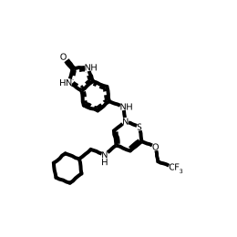 O=c1[nH]c2ccc(NN3C=C(NCC4CCCCC4)C=C(OCC(F)(F)F)S3)cc2[nH]1